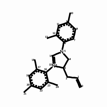 C=CCC1CN(c2ccc(C)cc2C)C=[N+]1c1c(C)cc(C)cc1C